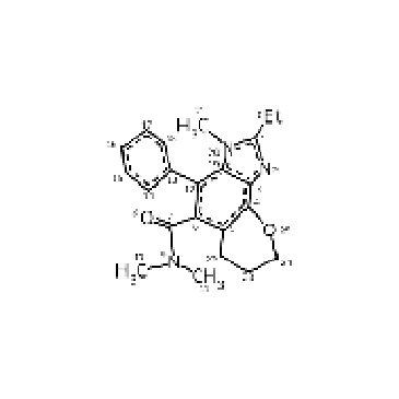 CCc1nc2c3c(c(C(=O)N(C)C)c(-c4ccccc4)c2n1C)CCCO3